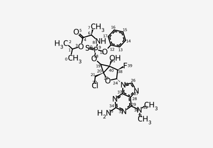 CC(C)OC(=O)[C@@H](C)NP(=S)(Oc1ccccc1)OC1[C@@]2(CCl)O[C@@H](n3cnc4c(N(C)C)nc(N)nc43)[C@H](F)[C@@]12O